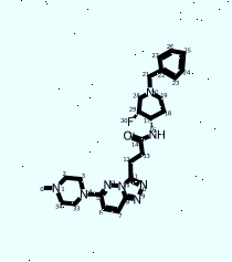 CN1CCN(c2ccc3nnc(CCC(=O)N[C@H]4CCN(Cc5ccccc5)C[C@@H]4F)n3n2)CC1